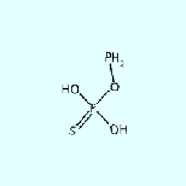 OP(O)(=S)OP